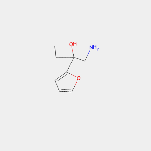 CCC(O)(CN)c1ccco1